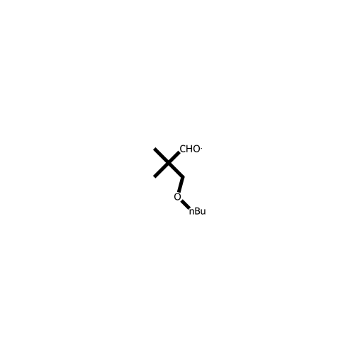 CCCCOCC(C)(C)[C]=O